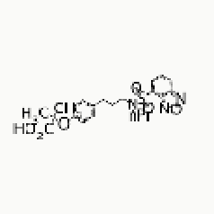 CCCN(CCCc1ccc(OC(C)(C)C(=O)O)cc1)S(=O)(=O)c1cccc2nonc12